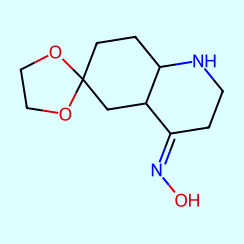 ON=C1CCNC2CCC3(CC12)OCCO3